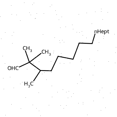 CCCCCCCCCCCCC(C)C(C)(C)C=O